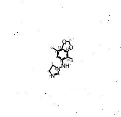 Cc1cc(NN2C=NCC2)c(C)c2c1OCO2